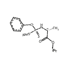 CSP(=S)(N[C@H](C)C(=O)OC(C)C)Oc1ccccc1